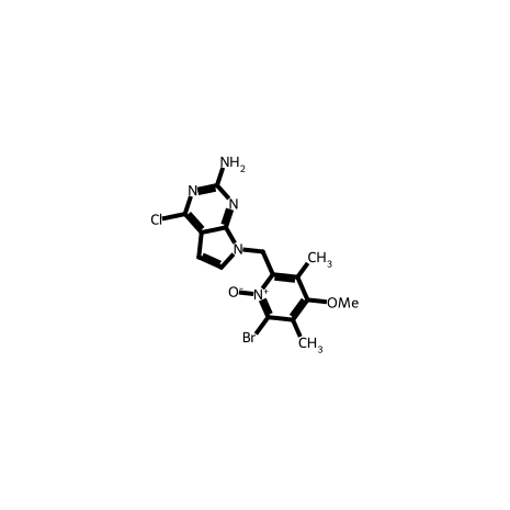 COc1c(C)c(Br)[n+]([O-])c(Cn2ccc3c(Cl)nc(N)nc32)c1C